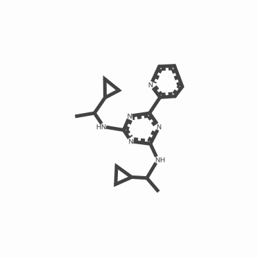 CC(Nc1nc(NC(C)C2CC2)nc(-c2ccccn2)n1)C1CC1